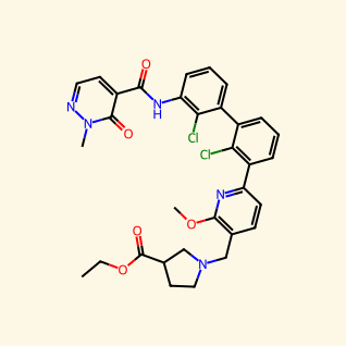 CCOC(=O)C1CCN(Cc2ccc(-c3cccc(-c4cccc(NC(=O)c5ccnn(C)c5=O)c4Cl)c3Cl)nc2OC)C1